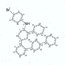 Brc1ccc(Nc2ccc(-c3ccccc3-c3ccc(-c4ccccc4)cc3)cc2-c2ccccc2)cc1